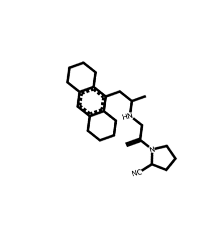 C=C(CNC(C)Cc1c2c(cc3c1CCCC3)CCCC2)N1CCCC1C#N